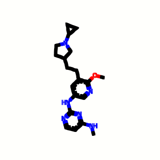 CNc1ccnc(Nc2cnc(OC)c(CCC3CCN(C4CC4)C3)c2)n1